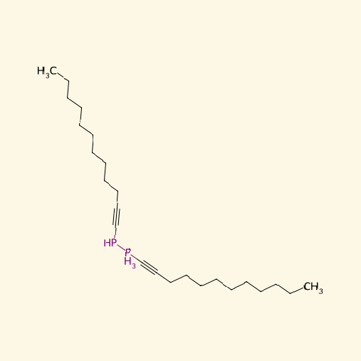 CCCCCCCCCCC#CP[PH3]C#CCCCCCCCCCC